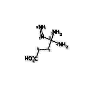 N=NC(N)(N)CCC(=O)O